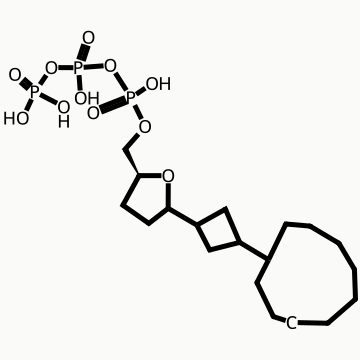 O=P(O)(O)OP(=O)(O)OP(=O)(O)OC[C@@H]1CCC(C2CC(C3CCCCCCCCC3)C2)O1